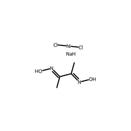 CC(=N\O)/C(C)=N/O.[Cl][Ni][Cl].[NaH]